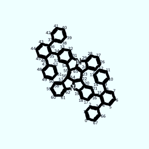 c1ccc(-c2cccc(-c3ccccc3)c2-c2ccc3c(c2)c2c4c5ccccc5n5c6ccc(-c7c(-c8ccccc8)cccc7-c7ccccc7)cc6c(c6c7ccccc7n3c62)c45)cc1